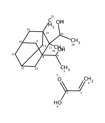 C=CC(=O)O.CC(O)C12CC3CC(CC(C)(C3)C1(C)C(C)O)C2